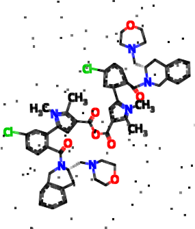 Cc1c(C(=O)OC(=O)c2cc(-c3cc(Cl)ccc3C(=O)N3Cc4ccccc4C[C@H]3CN3CCOCC3)n(C)c2C)cc(-c2cc(Cl)ccc2C(=O)N2Cc3ccccc3C[C@H]2CN2CCOCC2)n1C